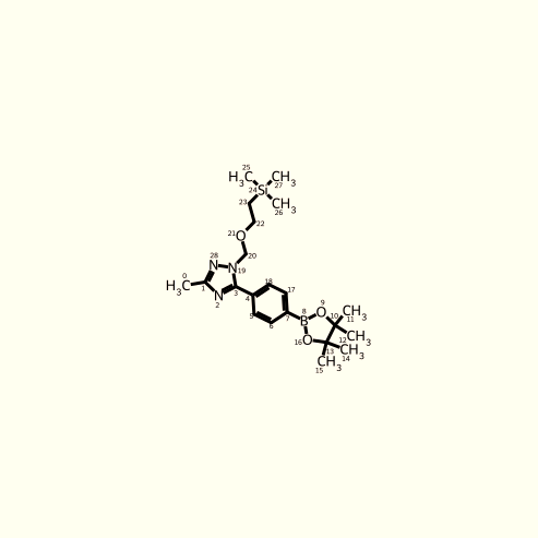 Cc1nc(-c2ccc(B3OC(C)(C)C(C)(C)O3)cc2)n(COCC[Si](C)(C)C)n1